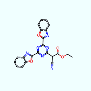 CCOC(=O)C(C#N)c1nc(-c2nc3ccccc3o2)nc(-c2nc3ccccc3o2)n1